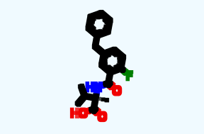 CC(C)[C@@](C)(NC(=O)c1cc(Cc2ccccc2)ccc1F)C(=O)O